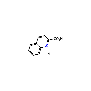 O=C(O)c1ccc2ccccc2n1.[Cd]